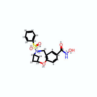 O=C(NO)c1ccc2c(c1)CN(S(=O)(=O)c1ccccc1)C1CC(C1)O2